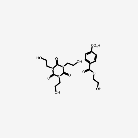 O=C(O)c1ccc(C(=O)OCCO)cc1.O=c1n(CCO)c(=O)n(CCO)c(=O)n1CCO